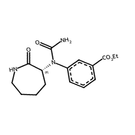 CCOC(=O)c1cccc(N(C(N)=O)[C@@H]2CCCCNC2=O)c1